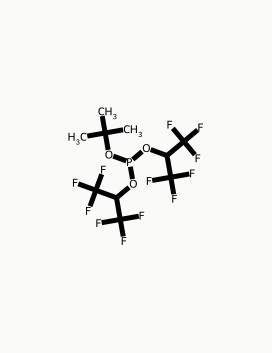 CC(C)(C)OP(OC(C(F)(F)F)C(F)(F)F)OC(C(F)(F)F)C(F)(F)F